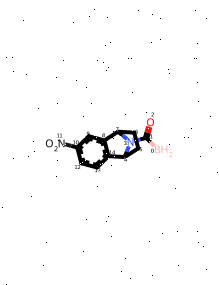 BC(=O)N1C2CCC1c1cc([N+](=O)[O-])ccc12